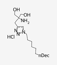 CCCCCCCCCCCCCCCCn1cc(CC(N)(CO)CO)nn1.Cl